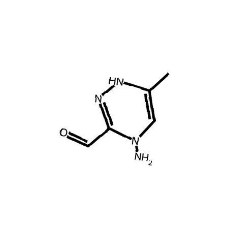 CC1=CN(N)C(C=O)=NN1